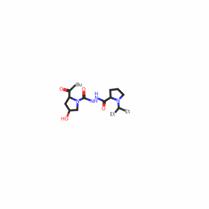 CCC(C)C(=O)C1CC(O)CN1C(=O)NNC(=O)C1CCCN1C(CC)CC